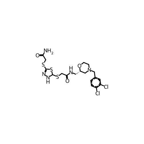 NC(=O)CSC1=NNC(SCC(=O)NC[C@H]2CN(Cc3ccc(Cl)c(Cl)c3)CCO2)S1